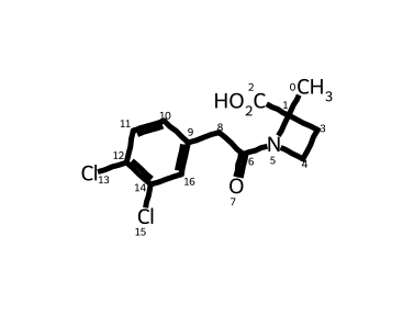 CC1(C(=O)O)CCN1C(=O)Cc1ccc(Cl)c(Cl)c1